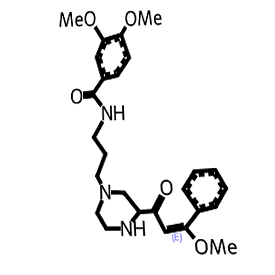 CO/C(=C/C(=O)C1CN(CCCNC(=O)c2ccc(OC)c(OC)c2)CCN1)c1ccccc1